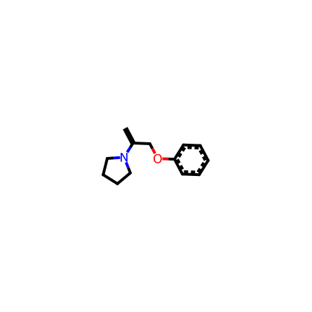 C=C(COc1ccccc1)N1CCCC1